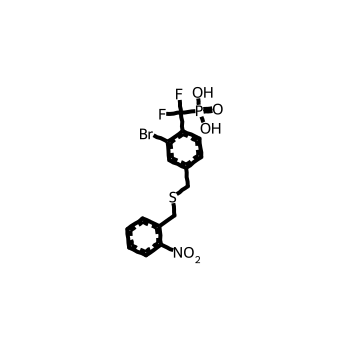 O=[N+]([O-])c1ccccc1CSCc1ccc(C(F)(F)P(=O)(O)O)c(Br)c1